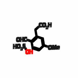 COc1ccc(C=O)c(CC(=O)O)c1.O=S(=O)(O)O